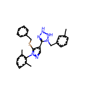 Cc1cccc(CN2NNN=C2c2cnn(-c3c(C)cccc3C)c2SCc2ccccc2)c1